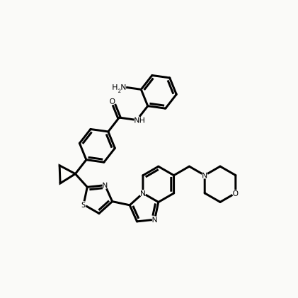 Nc1ccccc1NC(=O)c1ccc(C2(c3nc(-c4cnc5cc(CN6CCOCC6)ccn45)cs3)CC2)cc1